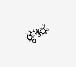 C=C(CN(C)S(=O)(=O)c1ccc(Cl)c(C)c1)c1cccc(Cl)n1